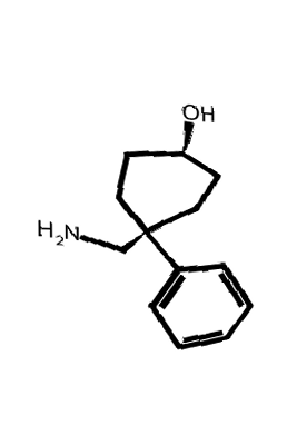 NC[C@]1(c2ccccc2)CC[C@H](O)CC1